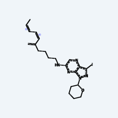 C=C(/C=C\C=C/C)CCCCNc1cnc2c(I)nn(C3CCCCO3)c2n1